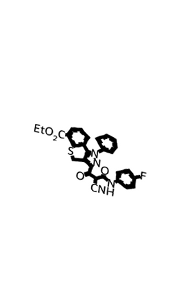 CCOC(=O)c1cccc2c1SCc1c(C(=O)C(C#N)C(=O)Nc3ccc(F)cc3)nn(-c3ccccc3)c1-2